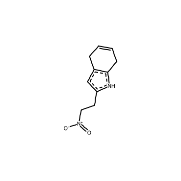 O=[N+]([O-])CCc1cc2c([nH]1)CC=CC2